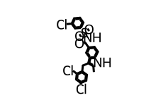 Cc1[nH]c2ccc(C(=O)NS(=O)(=O)c3cccc(Cl)c3)cc2c1Cc1ccc(Cl)cc1Cl